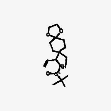 C=CC(N[S+]([O-])C(C)(C)C)C1(CC)CCC2(CC1)OCCO2